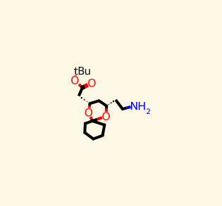 CC(C)(C)OC(=O)C[C@@H]1C[C@H](CCN)OC2(CCCCC2)O1